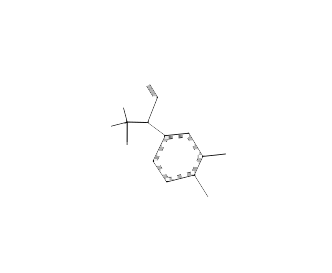 Cc1ccc(C(C=O)C(F)(F)F)cc1C